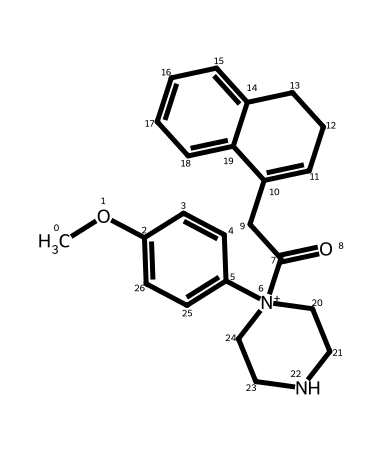 COc1ccc([N+]2(C(=O)CC3=CCCc4ccccc43)CCNCC2)cc1